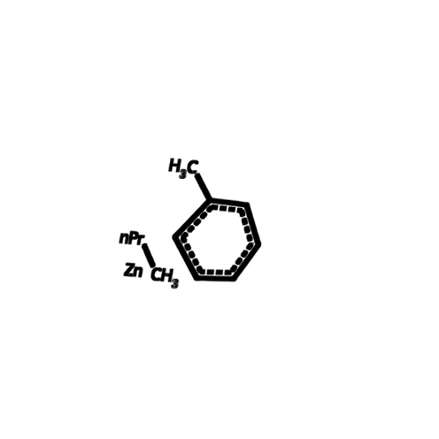 CCCC.Cc1ccccc1.[Zn]